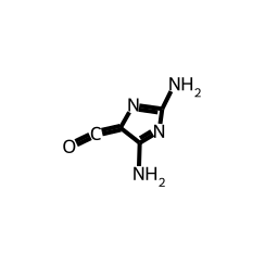 NC1=NC(=C=O)C(N)=N1